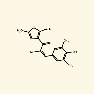 Cc1cc(C(=O)C(C#N)=Cc2cc(C)c(O)c(C)c2)c(C)o1